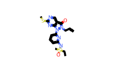 C=CCn1c(=O)c2cnc(SC)nc2n1-c1cccc(N=S(C)(=O)CC)n1